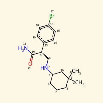 CC1(C)CCCC(NC[C@@H](C(N)=O)c2ccc(Br)cc2)C1